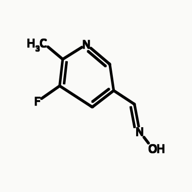 Cc1ncc(C=NO)cc1F